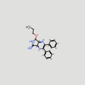 CCCOC1NC(=N)c2nc(-c3ccccc3)c(-c3ccccc3)nc21